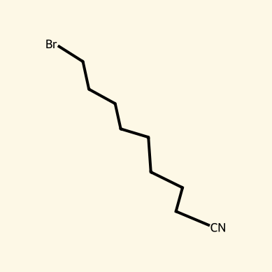 N#CCCCCCCCCBr